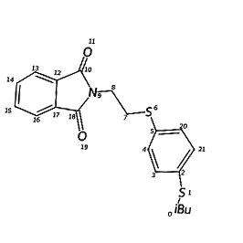 CCC(C)Sc1ccc(SCCN2C(=O)c3ccccc3C2=O)cc1